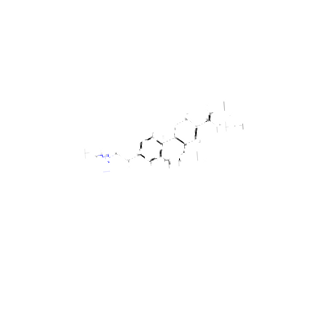 C=C(CCCCC)C1=CC(C)=C(c2ccc(CCNCC)cc2CC)CC1